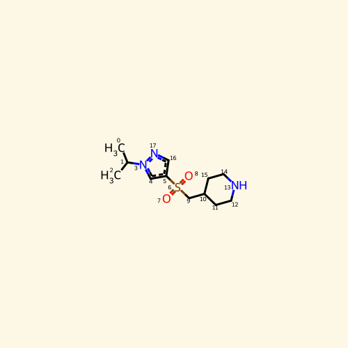 CC(C)n1cc(S(=O)(=O)CC2CCNCC2)cn1